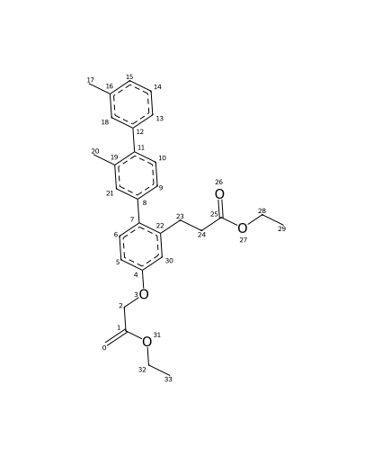 C=C(COc1ccc(-c2ccc(-c3cccc(C)c3)c(C)c2)c(CCC(=O)OCC)c1)OCC